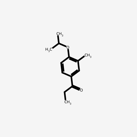 CCC(=O)c1ccc(OC(C)C)c(C)c1